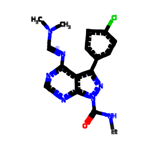 CCNC(=O)n1nc(-c2ccc(Cl)cc2)c2c(/N=C/N(C)C)ncnc21